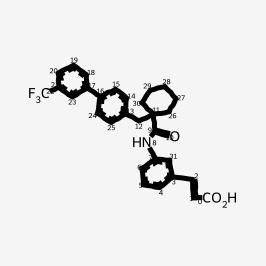 O=C(O)/C=C/c1cccc(NC(=O)C2(Cc3ccc(-c4cccc(C(F)(F)F)c4)cc3)CCCCC2)c1